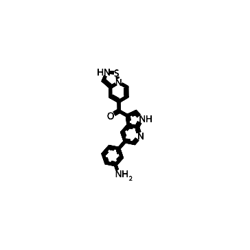 Nc1cccc(-c2cnc3[nH]cc(C(=O)C4=CC5=CNSN5C=C4)c3c2)c1